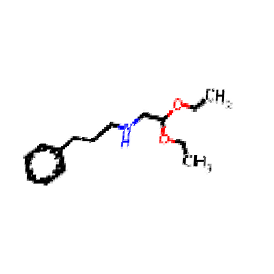 CCOC(CNCCCc1ccccc1)OCC